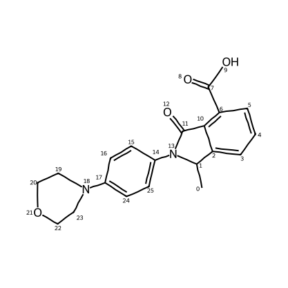 CC1c2cccc(C(=O)O)c2C(=O)N1c1ccc(N2CCOCC2)cc1